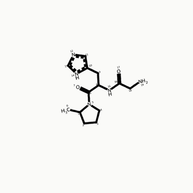 CC1CCCN1C(=O)C(Cc1cnc[nH]1)NC(=O)CN